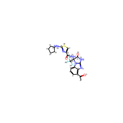 CC(=O)c1cccc2c1nc1n2C(NC(=O)c2csc(NC3CCCC3)n2)(C(F)(F)F)C(=O)N1